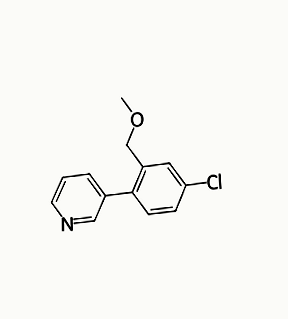 COCc1cc(Cl)ccc1-c1cccnc1